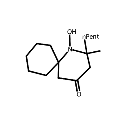 CCCCCC1(C)CC(=O)CC2(CCCCC2)N1O